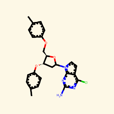 Cc1ccc(OC[C@H]2OC(n3ccc4c(Cl)nc(N)nc43)C[C@@H]2Oc2ccc(C)cc2)cc1